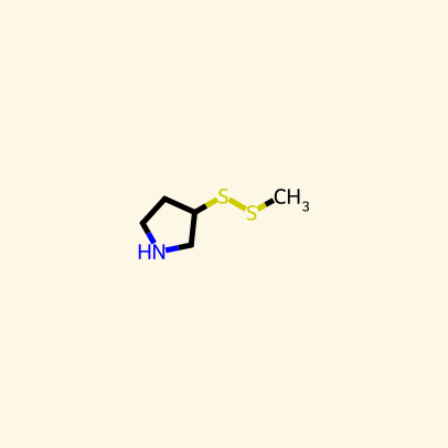 CSSC1CCNC1